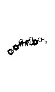 Cc1ccc(Cn2nc(-c3nc(-c4ccc(N5CCCCC5)cc4)co3)cc2C)cc1